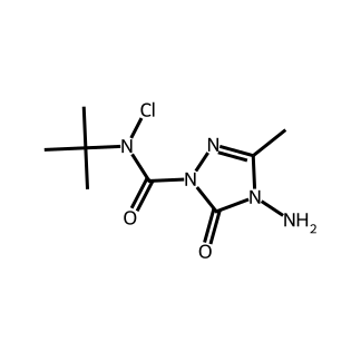 Cc1nn(C(=O)N(Cl)C(C)(C)C)c(=O)n1N